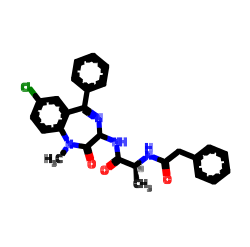 C[C@H](NC(=O)Cc1ccccc1)C(=O)NC1N=C(c2ccccc2)c2cc(Cl)ccc2N(C)C1=O